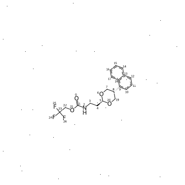 O=C(NCC[C@H]1OC[C@H](c2cccc3ccccc32)CO1)OCC(F)(F)F